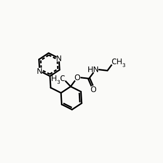 CCNC(=O)OC1(C)C=CC=CC1Cc1cnccn1